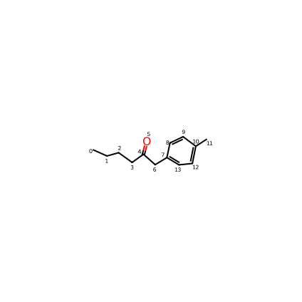 CCCCC(=O)Cc1ccc(C)cc1